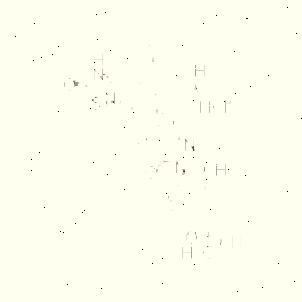 CCCCc1nc(C)n(-c2ccc3c(c2)CC(C)(C)O3)c(=O)c1Cc1ccc(-c2ccccc2-c2nsc(=O)[nH]2)cc1.Cl